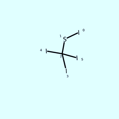 ISC(I)(I)I